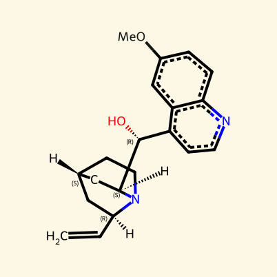 C=C[C@H]1C[C@@H]2CCN1[C@H]([C@H](O)c1ccnc3ccc(OC)cc13)C2